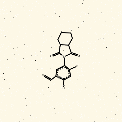 O=Cc1cc(N2C(=O)C3CCCCC3C2=O)c(F)cc1Cl